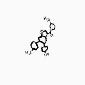 Cc1ccc(-c2cc3scc(C(=O)N4CCC[C@H](N)C4)c3cc2-c2ccc(C#N)cc2)cc1